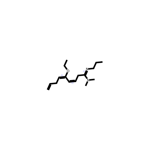 C=CC/C=C(\C=C/C/C(=N/CCC)N(C)C)OCC